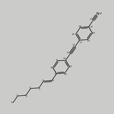 CCCCC/C=C/c1ccc(C#Cc2ccc(C#N)cc2)cc1